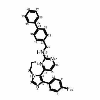 FCn1cnc(-c2ccc(F)cc2)c1-c1ccnc(NCc2ccc(-c3ccccc3)cc2)n1